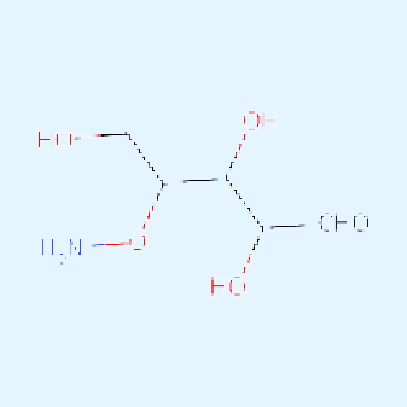 NOC(CO)C(O)C(O)C=O